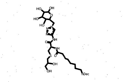 CCCCCCCCCCCCCCCCCC(=O)NC(CSCC(O)CO)C(=O)Nc1cn(CC2OC(O)C(O)C(O)C2O)nn1